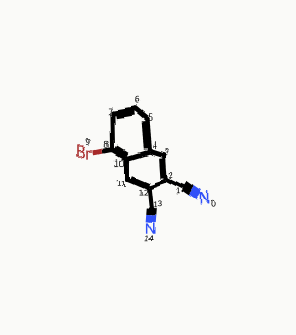 N#Cc1cc2cccc(Br)c2cc1C#N